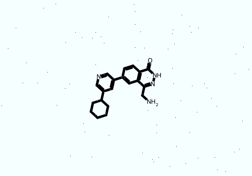 NCc1n[nH]c(=O)c2ccc(-c3cncc(C4CCCCC4)c3)cc12